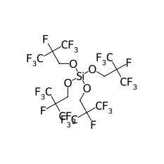 FC(F)(F)C(F)(CO[Si](OCC(F)(C(F)(F)F)C(F)(F)F)(OCC(F)(C(F)(F)F)C(F)(F)F)OCC(F)(C(F)(F)F)C(F)(F)F)C(F)(F)F